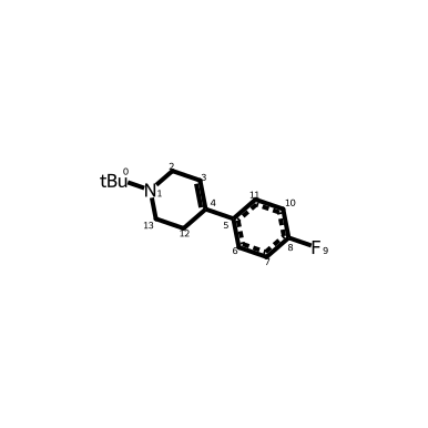 CC(C)(C)N1CC=C(c2ccc(F)cc2)CC1